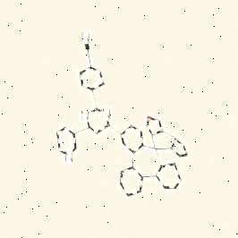 N#Cc1ccc(-c2nc(-c3cccnc3)cc(-c3ccc4c(c3)-c3ccccc3-c3ccccc3C43c4ccccc4-c4ccccc43)n2)cc1